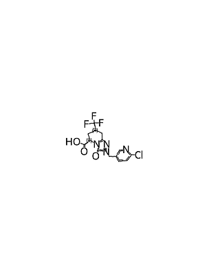 O=C(O)[C@H]1C[C@@H](C(F)(F)F)Cc2nn(Cc3ccc(Cl)nc3)c(=O)n21